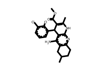 COC(=O)C1=C(C)Nc2nc3c(c(N)c2C1c1cccc(Cl)c1Cl)CC(C)CC3